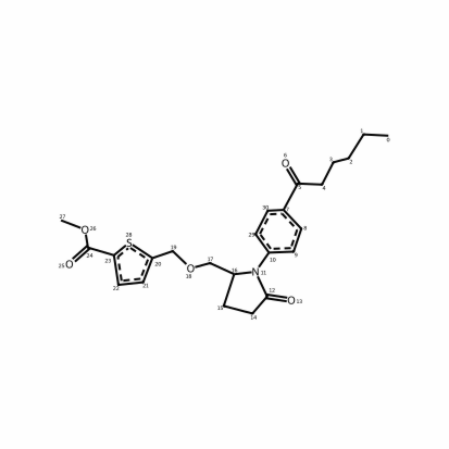 CCCCCC(=O)c1ccc(N2C(=O)CCC2COCc2ccc(C(=O)OC)s2)cc1